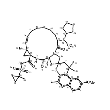 COc1ccc2nc(C)c3c(c2c1)C(F)(F)C[C@]1(C[C@H]2C(=O)N[C@]4(C(=O)NS(=O)(=O)C5(C)CC5)C[C@H]4/C=C\CCCCC[C@H](N(C(=O)O)C4CCCC4)C(=O)N2C1)O3